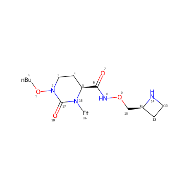 CCCCON1CC[C@@H](C(=O)NOC[C@@H]2CCN2)N(CC)C1=O